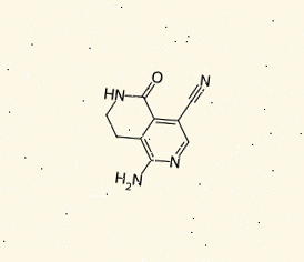 N#Cc1cnc(N)c2c1C(=O)NCC2